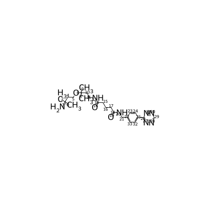 CC(C)(N)CCOC(C)(C)CCNC(=O)CCCC(=O)NCc1ccc(-c2nncnn2)cc1